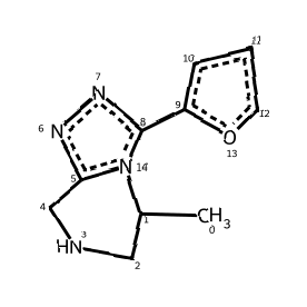 CC1CNCc2nnc(-c3ccco3)n21